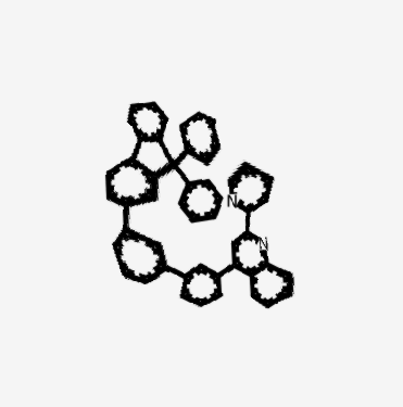 c1ccc(C2(c3ccccc3)c3ccccc3-c3ccc(-c4cccc(-c5cccc(-c6cc(-c7ccccn7)nc7ccccc67)c5)c4)cc32)cc1